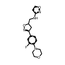 Fc1cc(C2=NOC(CNc3ccon3)C2)ccc1N1CCOCC1